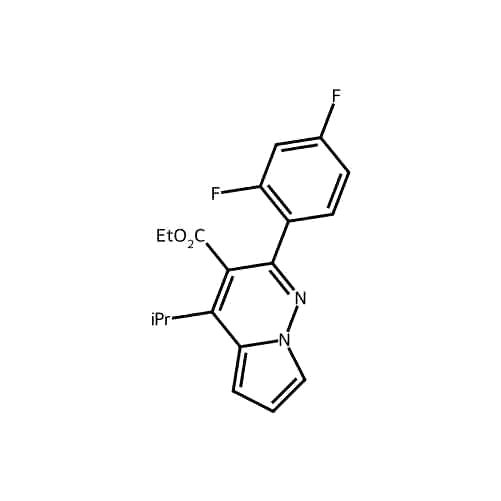 CCOC(=O)c1c(-c2ccc(F)cc2F)nn2cccc2c1C(C)C